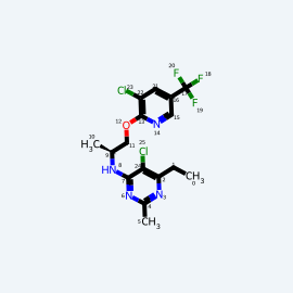 CCc1nc(C)nc(N[C@@H](C)COc2ncc(C(F)(F)F)cc2Cl)c1Cl